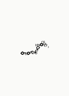 O=C(COC1CCC(Nc2ccc(OC(F)(F)F)c(C(F)(F)F)c2)CC1)N1CCN(c2ccc(OCc3ccccc3)cc2)CC1